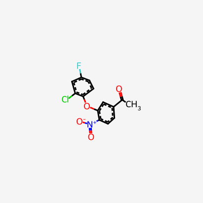 CC(=O)c1ccc([N+](=O)[O-])c(Oc2ccc(F)cc2Cl)c1